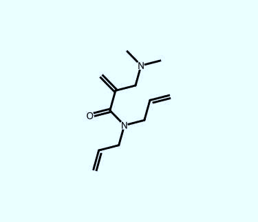 C=CCN(CC=C)C(=O)C(=C)CN(C)C